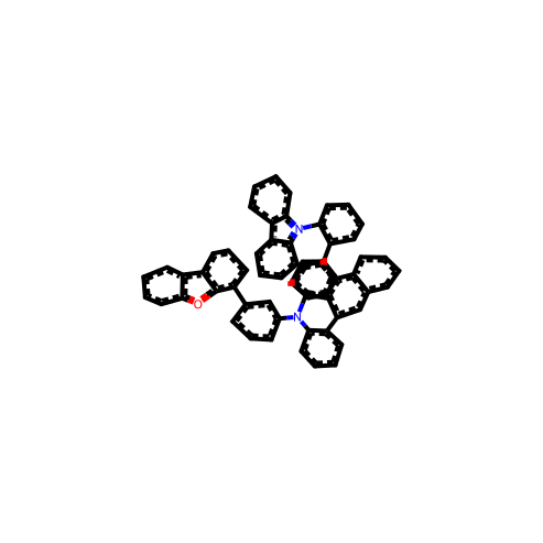 c1cc(-c2cccc3c2oc2ccccc23)cc(N(c2ccc(-c3ccccc3-n3c4ccccc4c4ccccc43)cc2)c2ccccc2-c2cc3ccccc3c3ccccc23)c1